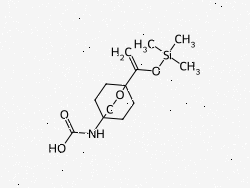 C=C(O[Si](C)(C)C)C12CCC(NC(=O)O)(CC1)CO2